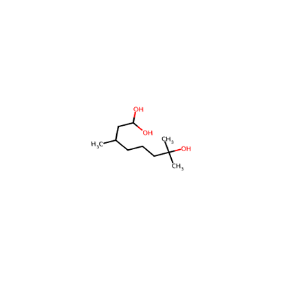 CC(CCCC(C)(C)O)CC(O)O